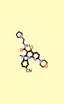 Cn1c2ccc(C#N)cc2n2c3nc(N4CCOCC4)ccc3c(=O)c(C(=O)NCCN3CCCC3)c12